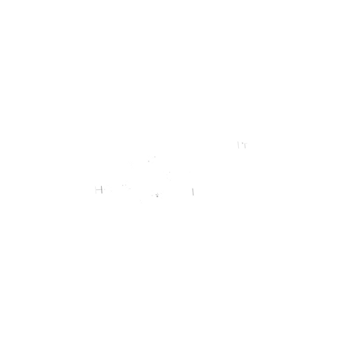 CCC(C)(CCC(C)C)[13c]1[13cH][13cH][13c](O)[13cH][13cH]1